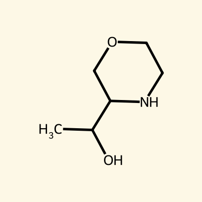 CC(O)C1COCCN1